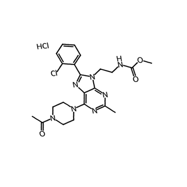 COC(=O)NCCn1c(-c2ccccc2Cl)nc2c(N3CCN(C(C)=O)CC3)nc(C)nc21.Cl